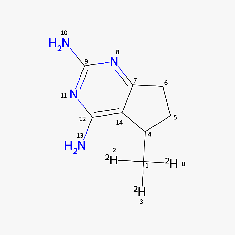 [2H]C([2H])([2H])C1CCc2nc(N)nc(N)c21